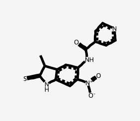 CC1C(=S)Nc2cc([N+](=O)[O-])c(NC(=O)c3ccncc3)cc21